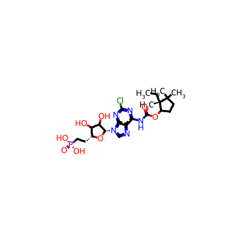 CC[C@@]1(C)C(OC(=O)Nc2nc(Cl)nc3c2ncn3[C@@H]2O[C@H](CCP(=O)(O)O)C(O)C2O)CCC1(C)C